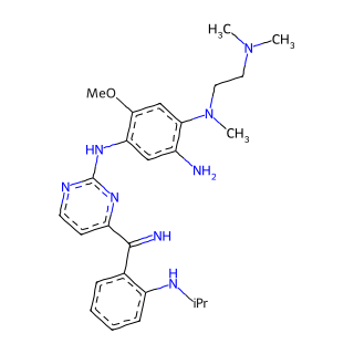 COc1cc(N(C)CCN(C)C)c(N)cc1Nc1nccc(C(=N)c2ccccc2NC(C)C)n1